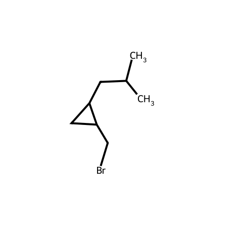 CC(C)CC1CC1CBr